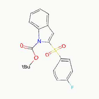 CC(C)(C)OC(=O)n1c(S(=O)(=O)c2ccc(F)cc2)cc2ccccc21